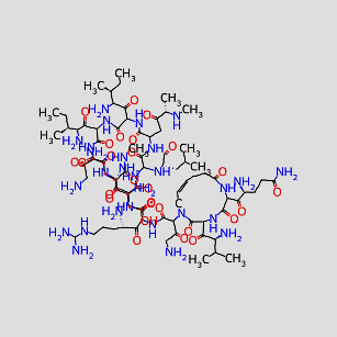 CC[C@H](C)C(N)C(=O)C(NC(=O)C(CC(=O)[C@H](C)NC)NC(=O)C(NC(=O)C(NC(=O)C(NC(=O)C(C(=O)CN)N1CC=CCCC(=O)NC(C(=O)[C@@H](N)CCC(N)=O)C(=O)NC(C(=O)[C@@H](N)C(C)C)C1=O)C(=O)[C@@H](N)CCCNC(N)N)C(=O)[C@@H](N)CCC(N)=O)N[C@H](C=O)CC(C)C)C(=O)NC(C(=O)NC(C(=O)CN)C(=O)NC(C(=O)NC)C(=O)[C@@H](N)CC(=O)O)C(=O)C(N)[C@@H](C)CC